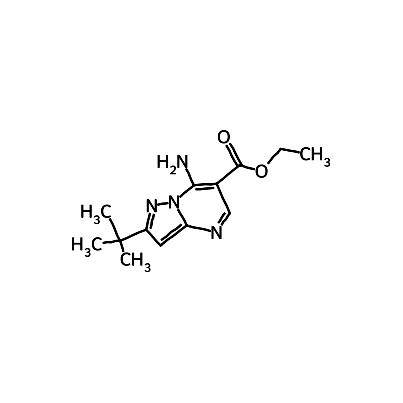 CCOC(=O)c1cnc2cc(C(C)(C)C)nn2c1N